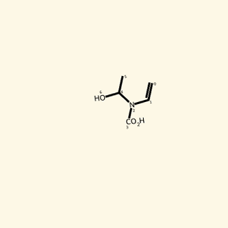 C=CN(C(=O)O)C(C)O